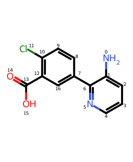 Nc1cccnc1-c1ccc(Cl)c(C(=O)O)c1